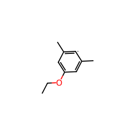 CCOc1cc(C)[c]c(C)c1